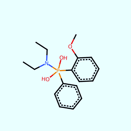 CCN(CC)P(O)(O)(c1ccccc1)c1ccccc1OC